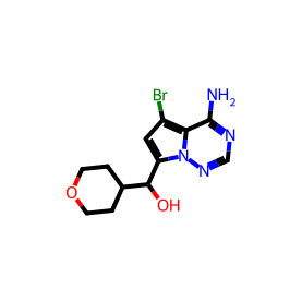 Nc1ncnn2c(C(O)C3CCOCC3)cc(Br)c12